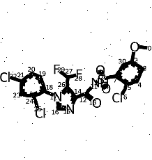 COc1ccc(Cl)c(S(=O)(=O)NC(=O)c2ncn(-c3ccc(Cl)cc3Cl)c2C(F)F)c1